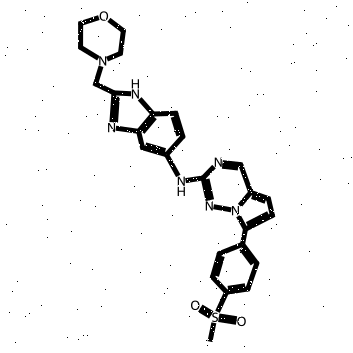 CS(=O)(=O)c1ccc(-c2ccc3cnc(Nc4ccc5[nH]c(CN6CCOCC6)nc5c4)nn23)cc1